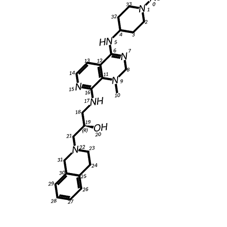 CC(=O)N1CCC(NC2=NCN(C)c3c2ccnc3NC[C@@H](O)CN2CCc3ccccc3C2)CC1